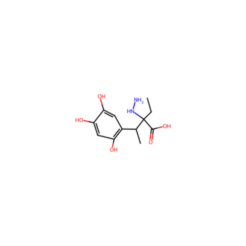 CCC(NN)(C(=O)O)C(C)c1cc(O)c(O)cc1O